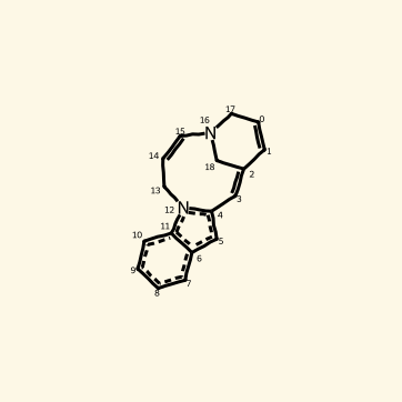 C1=C/C2=C/c3cc4ccccc4n3C/C=C\N(C1)C2